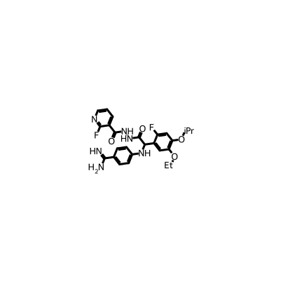 CCOc1cc(C(Nc2ccc(C(=N)N)cc2)C(=O)NNC(=O)c2cccnc2F)c(F)cc1OC(C)C